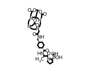 C[C@@H](NC(=O)[C@H]1CC[C@H](CNC(=O)CN2CCN3CCN4CCN(CC2)CC(=O)OC(OC(=O)C3)OC(=O)C4)CC1)C(=O)N1CCC[C@H]1B(O)O